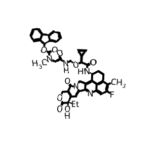 CC[C@@]1(O)C(=O)OCc2c1cc1n(c2=O)Cc2c-1nc1cc(F)c(C)c3c1c2[C@@H](NC(=O)C(OCNC(=O)CN(C)C(=O)OC1c2ccccc2-c2ccccc21)C1CC1)CC3